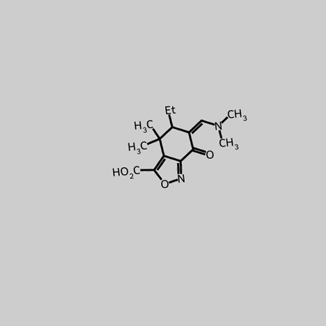 CCC1C(=CN(C)C)C(=O)c2noc(C(=O)O)c2C1(C)C